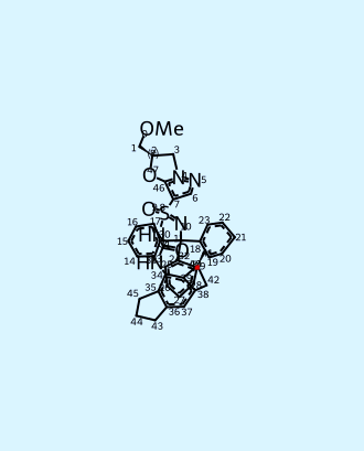 COC[C@H]1Cn2ncc(S(=O)(=NC(c3ccccc3)(c3ccccc3)c3ccccc3)NC(=O)Nc3c4c(cc5c3[C@@H](C)C5)CCC4)c2O1